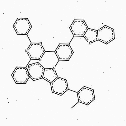 Cc1ccccc1-c1ccc2c3ccccc3n(-c3ccc(-c4cccc5c4sc4ccccc45)cc3-c3nc(-c4ccccc4)nc(-c4ccccc4)n3)c2c1